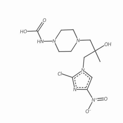 CC(O)(CN1CCN(NC(=O)O)CC1)Cn1cc([N+](=O)[O-])nc1Cl